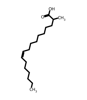 CCCCCC/C=C\CCCCCCCC(C)C(=O)O